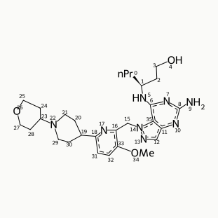 CCC[C@@H](CCO)Nc1nc(N)nc2cnn(Cc3nc(C4CCN(C5CCOCC5)CC4)ccc3OC)c12